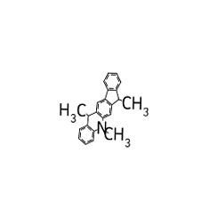 CC1c2ccccc2-c2cc3c(cc21)N(C)c1ccccc1C3C